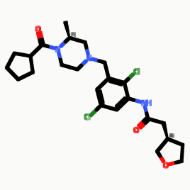 C[C@H]1CN(Cc2cc(Cl)cc(NC(=O)C[C@H]3CCOC3)c2Cl)CCN1C(=O)C1CCCC1